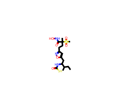 CCC(C)C(Cc1cc(CCC(C)(C(=O)NO)S(C)(=O)=O)no1)NC(=O)S